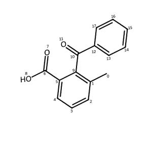 Cc1cccc(C(=O)O)c1C(=O)c1ccccc1